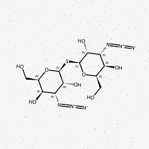 [N-]=[N+]=N[C@@H]1[C@@H](O)[C@@H](CO)O[C@@H](S[C@@H]2O[C@H](CO)[C@H](O)[C@@H](N=[N+]=[N-])[C@H]2O)[C@@H]1O